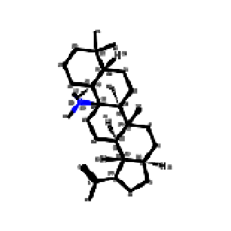 C=C(C)[C@@H]1CC[C@@H]2CC[C@]3(C)[C@H](CC[C@@]4(N(C)C)[C@@]3(C)CC[C@H]3C(C)(C)CCC[C@@]34C)[C@H]21